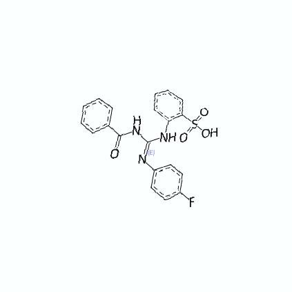 O=C(N/C(=N/c1ccc(F)cc1)Nc1ccccc1S(=O)(=O)O)c1ccccc1